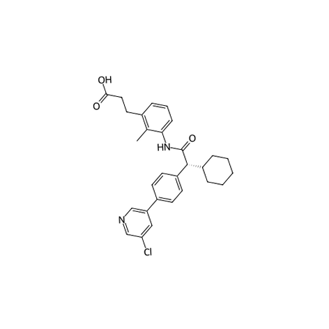 Cc1c(CCC(=O)O)cccc1NC(=O)[C@@H](c1ccc(-c2cncc(Cl)c2)cc1)C1CCCCC1